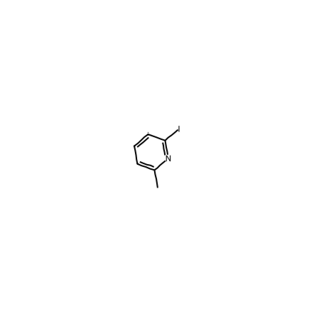 Cc1cc[c]c(I)n1